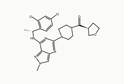 C[C@@H](Nc1nc(N2CCN(C(=O)[C@H]3CCOC3)CC2)nc2cn(C)nc12)c1ccc(Cl)cc1Cl